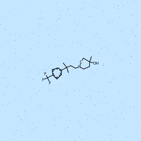 CC1(O)CCN(CCC(C)(C)c2ccc(C(F)(F)F)cc2)CC1